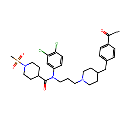 CC(C)C(=O)c1ccc(CC2CCN(CCCN(C(=O)C3CCN(S(C)(=O)=O)CC3)c3ccc(Cl)c(Cl)c3)CC2)cc1